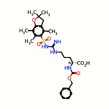 Cc1c(C)c(S(=O)(=O)NC(=N)NCCC[C@@H](NC(=O)OCc2ccccc2)C(=O)O)c(C)c2c1OC(C)(C)C2